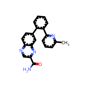 Cc1cccc(-c2ccccc2-c2ccc3ncc(C(N)=O)nc3c2)n1